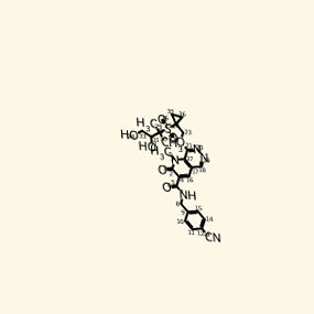 Cn1c(=O)c(C(=O)NCc2ccc(C#N)cc2)cc2cnnc(OCC3(S(=O)(=O)C(C)(C)C(O)CO)CC3)c21